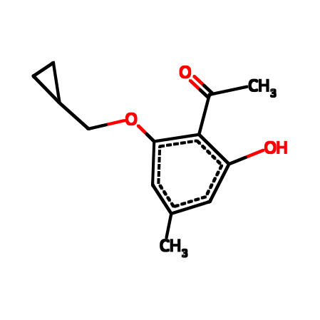 CC(=O)c1c(O)cc(C)cc1OCC1CC1